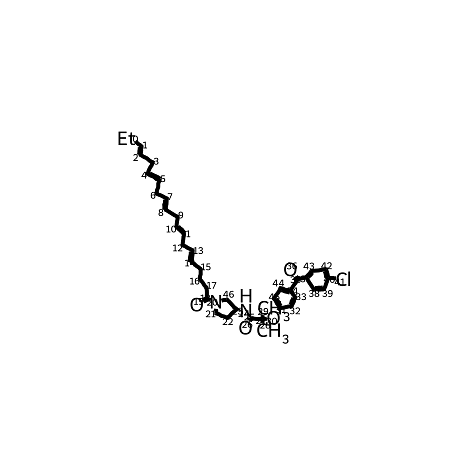 CCC=CCC=CCC=CCC=CCC=CCCCC(=O)N1CC[C@@H](NC(=O)C(C)(C)Oc2ccc(C(=O)c3ccc(Cl)cc3)cc2)C1